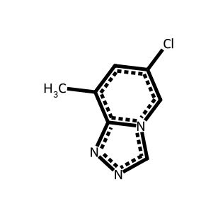 Cc1cc(Cl)cn2cnnc12